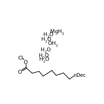 CCCCCCCCCCCCCCCCCC(=O)OCl.O.O.O.O.O.O.[MgH2]